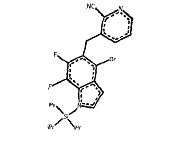 CC(C)[Si](C(C)C)(C(C)C)n1ccc2c(Br)c(Cc3cccnc3C#N)c(F)c(F)c21